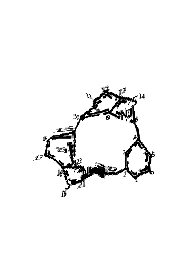 c1cc2cc(c1)-c1nc3cc(ccc3s1)-c1ccc3sc-2nc3c1